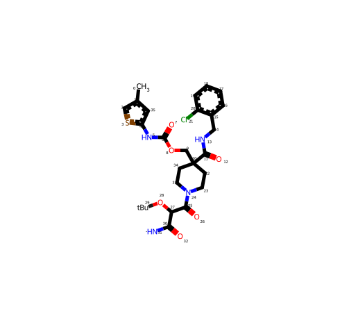 Cc1csc(NC(=O)OCC2(C(=O)NCc3ccccc3Cl)CCN(C(=O)C(OC(C)(C)C)C([NH])=O)CC2)c1